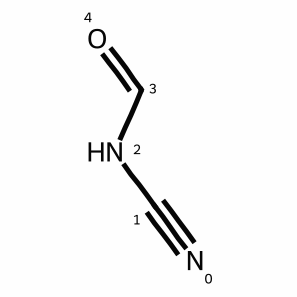 N#CNC=O